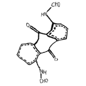 O=CNc1cccc2c1C(=O)c1cccc(NC=O)c1C2=O